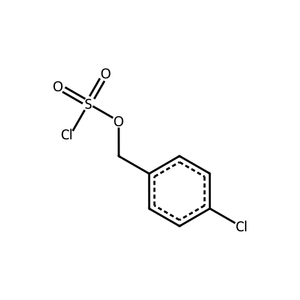 O=S(=O)(Cl)OCc1ccc(Cl)cc1